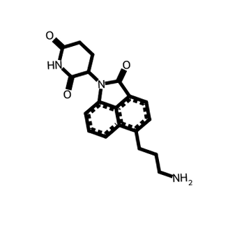 NCCCc1ccc2c3c(cccc13)N(C1CCC(=O)NC1=O)C2=O